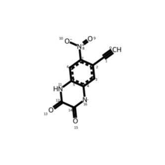 C#Cc1cc2c(cc1[N+](=O)[O-])NC(=O)C(=O)[N]2